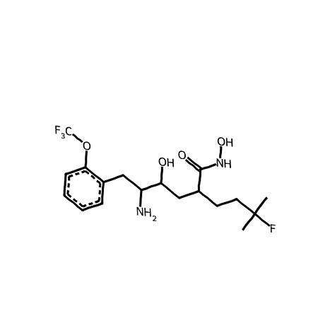 CC(C)(F)CCC(CC(O)C(N)Cc1ccccc1OC(F)(F)F)C(=O)NO